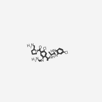 C=C(NC(C)c1nc2cc(Cl)ccc2[nH]1)c1cc(Cl)c(C(=O)N2CCCC2CN)cc1/N=C\N